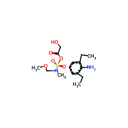 CCc1cccc(CC)c1N.COCN(C)S(=O)(=O)OC(=O)CO